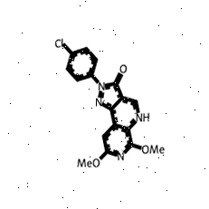 COc1cc2c3nn(-c4ccc(Cl)cc4)c(=O)c-3c[nH]c2c(OC)n1